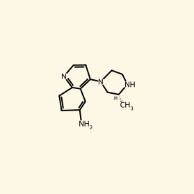 C[C@@H]1CN(c2ccnc3ccc(N)cc23)CCN1